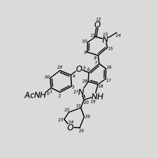 CC(=O)Nc1ccc(Oc2c(-c3ccc(=O)n(C)c3)ccc3[nH]c(C4CCOCC4)nc23)cc1